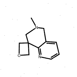 CN1Cc2cccnc2C2(COC2)C1